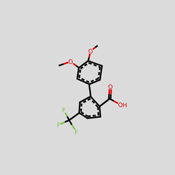 COc1ccc(-c2cc(C(F)(F)F)ccc2C(=O)O)cc1OC